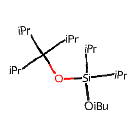 CC(C)CO[Si](OC(C(C)C)(C(C)C)C(C)C)(C(C)C)C(C)C